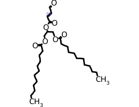 CCCCCCCCCCCC(=O)OCC(COC(=O)CCCCCCCCCCC)OC(=O)/C=C/C=O